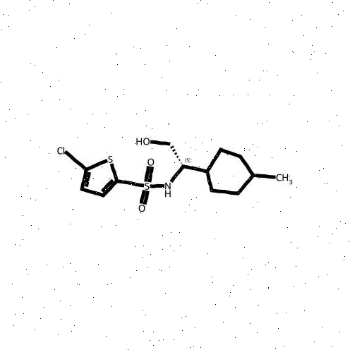 CC1CCC([C@@H](CO)NS(=O)(=O)c2ccc(Cl)s2)CC1